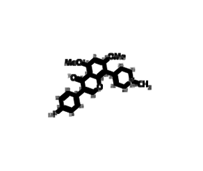 COc1cc(OC)c2c(=O)c(-c3ccc(F)cc3)coc2c1C1=CCN(C)CC1